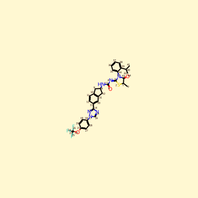 CC1S/C(=N\C(=O)NC2Cc3ccc(-c4ncn(-c5ccc(OC(F)(F)F)cc5)n4)cc3C2)N(c2ccccc2C(C)C)C1=O